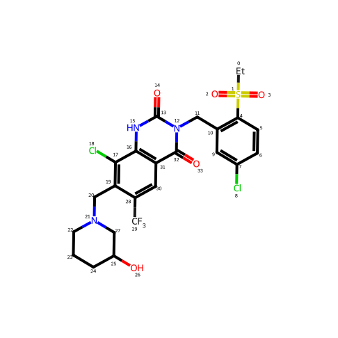 CCS(=O)(=O)c1ccc(Cl)cc1Cn1c(=O)[nH]c2c(Cl)c(CN3CCCC(O)C3)c(C(F)(F)F)cc2c1=O